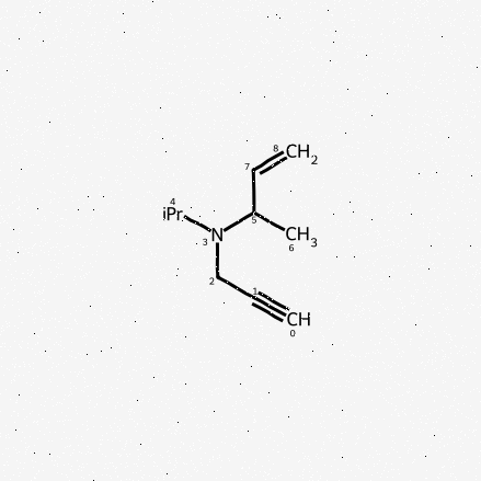 C#CCN(C(C)C)C(C)C=C